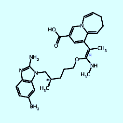 Bc1ccc2nc(N)n(C[C@H](C)CCCO/C(NC)=C(/C)C3=CC(C(=O)O)=CN4C=CCCC=C34)c2c1